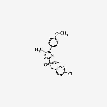 COc1ccc(-c2nc(S(=N)(=O)Cc3ccc(Cl)nc3)sc2C)cc1